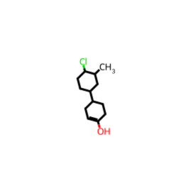 CC1CC(C2CC=C(O)CC2)CCC1Cl